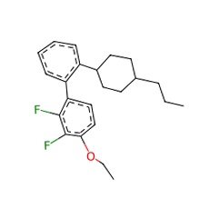 CCCC1CCC(c2ccccc2-c2ccc(OCC)c(F)c2F)CC1